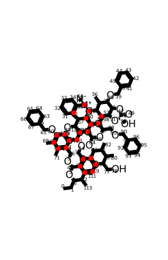 CCC1OC(OCC2OC(OC3C(COCc4ccccc4)OC(OC4C(OCc5ccccc5)C(C)C(OCc5ccccc5)C5OP(=O)(O)OC45)C(N=[N+]=[N-])C3C)C(OCc3ccccc3)C(C)C2C)C(OC2OC(CO)C(C)C(C)C2OC2OC(COCc3ccccc3)C(C)C(C)C2OCc2ccccc2)C(C)C1C